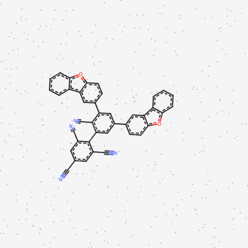 N#Cc1cc(C#N)c(-c2cc(-c3ccc4oc5ccccc5c4c3)cc(-c3ccc4oc5ccccc5c4c3)c2C#N)c(C#N)c1